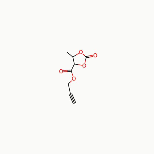 C#CCOC(=O)C1OC(=O)OC1C